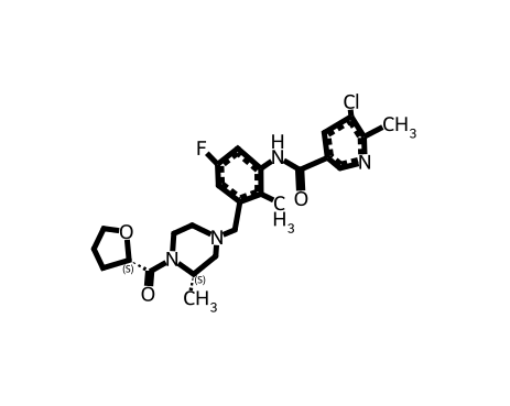 Cc1ncc(C(=O)Nc2cc(F)cc(CN3CCN(C(=O)[C@@H]4CCCO4)[C@@H](C)C3)c2C)cc1Cl